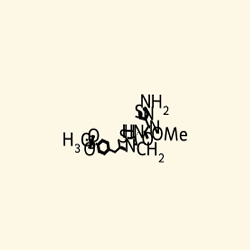 C=C1[C@@H](NC(=O)/C(=N\OC)c2csc(N)n2)[C@H]2SCC(Cc3ccc(S(C)(=O)=O)cc3)=CN12